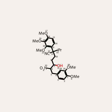 COc1ccc(CC(C(O)CCC(C#N)(c2ccc(OC)c(OC)c2OC)C(C)C)[N+](=O)[O-])cc1OC